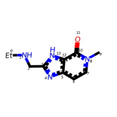 CCNCc1nc2ccn(C)c(=O)c2[nH]1